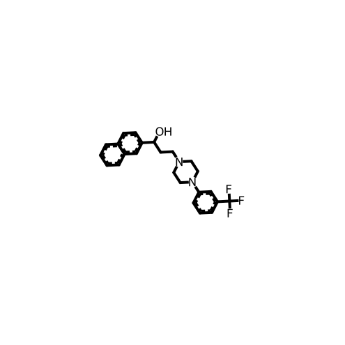 OC(CCN1CCN(c2cccc(C(F)(F)F)c2)CC1)c1ccc2ccccc2c1